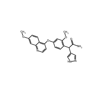 COc1ccc2c(Oc3ccc(C(C(N)=O)c4cn[nH]c4)c(OC)c3)ccnc2c1